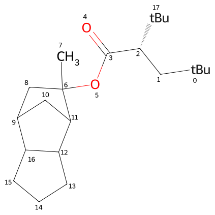 CC(C)(C)C[C@H](C(=O)OC1(C)CC2CC1C1CCCC21)C(C)(C)C